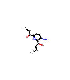 CC=CC(=O)c1ccc(N)c(C(=O)C=CC)n1